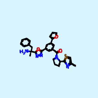 Cc1csc([C@H]2CCCN2C(=O)c2cc(-c3ccco3)cc(-c3nnc([C@](C)(N)Cc4ccccc4)o3)c2)n1